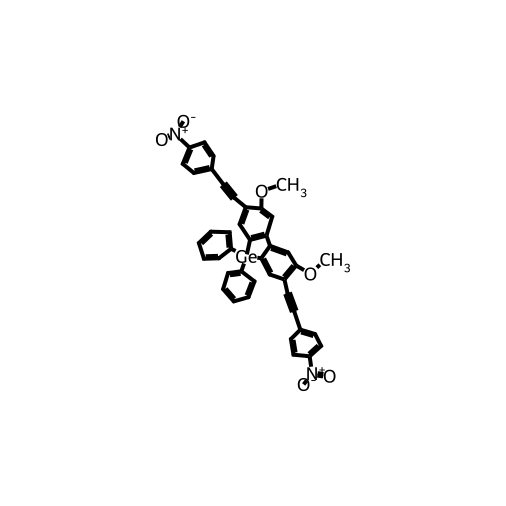 COc1cc2[c](cc1C#Cc1ccc([N+](=O)[O-])cc1)[Ge]([c]1ccccc1)([c]1ccccc1)[c]1cc(C#Cc3ccc([N+](=O)[O-])cc3)c(OC)cc1-2